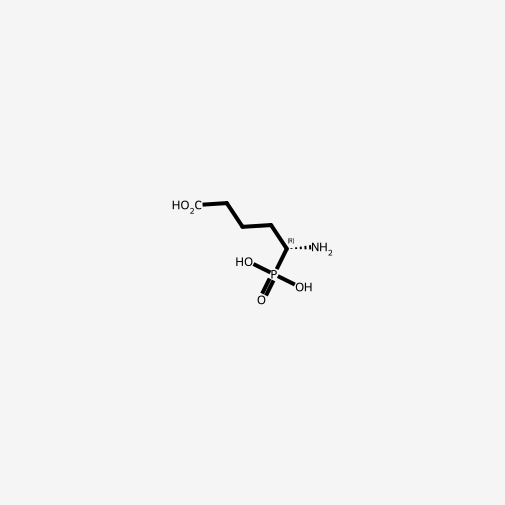 N[C@@H](CCCC(=O)O)P(=O)(O)O